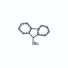 CC(C)(C)C1c2ccccc2-c2ccccc21